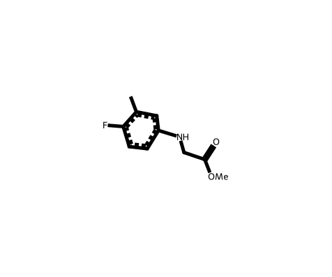 COC(=O)CNc1ccc(F)c(C)c1